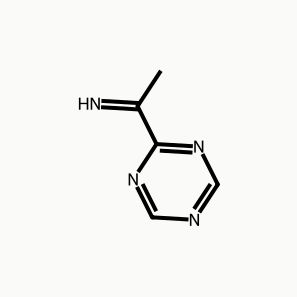 CC(=N)c1ncncn1